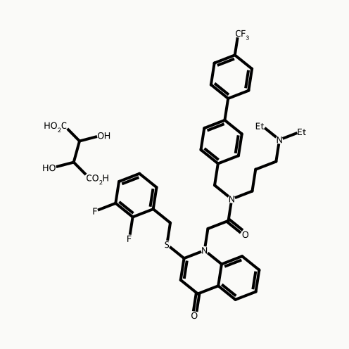 CCN(CC)CCCN(Cc1ccc(-c2ccc(C(F)(F)F)cc2)cc1)C(=O)Cn1c(SCc2cccc(F)c2F)cc(=O)c2ccccc21.O=C(O)C(O)C(O)C(=O)O